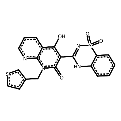 O=c1c(C2=NS(=O)(=O)c3ccccc3N2)c(O)c2cccnc2n1Cc1ccsc1